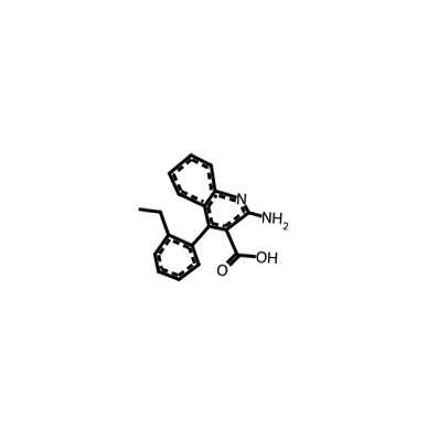 CCc1ccccc1-c1c(C(=O)O)c(N)nc2ccccc12